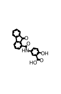 O=C(O)c1cc(NC(=O)c2cccc3c2C(=O)c2ccccc2-3)ccc1O